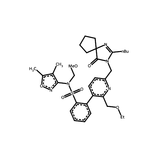 CCCCC1=NC2(CCCC2)C(=O)N1Cc1ccc(-c2ccccc2S(=O)(=O)N(COC)c2noc(C)c2C)c(COCC)n1